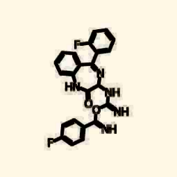 N=C(NC1N=C(c2ccccc2F)c2ccccc2NC1=O)OC(=N)c1ccc(F)cc1